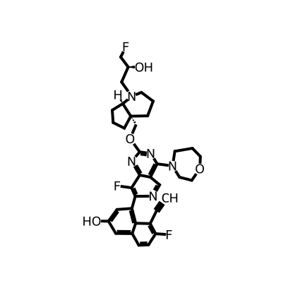 C#Cc1c(F)ccc2cc(O)cc(-c3ncc4c(N5CCCOCC5)nc(OC[C@]56CCC[C@H]5N(C[C@H](O)CF)CCC6)nc4c3F)c12